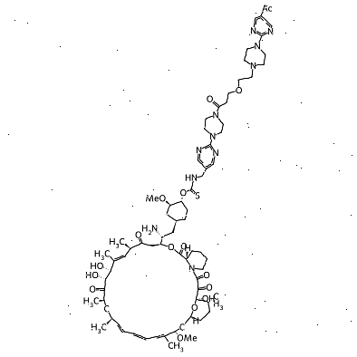 CO[C@H]1C[C@@H]2CC[C@@H](C)[C@@](O)(O2)C(=O)C(=O)N2CCCC[C@H]2C(=O)O[C@H]([C@H](N)C[C@@H]2CC[C@@H](OC(=S)NCc3cnc(N4CCN(C(=O)CCOCCN5CCN(c6ncc(C(C)=O)cn6)CC5)CC4)nc3)[C@H](OC)C2)CC(=O)[C@H](C)/C=C(\C)[C@@H](O)[C@@H](O)C(=O)[C@H](C)C[C@H](C)/C=C/C=C/C=C/1C